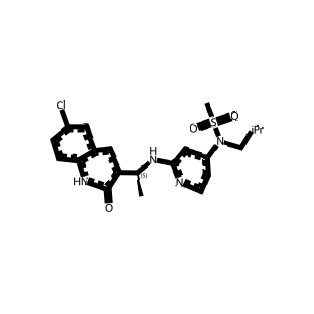 CC(C)CN(c1ccnc(N[C@@H](C)c2cc3cc(Cl)ccc3[nH]c2=O)c1)S(C)(=O)=O